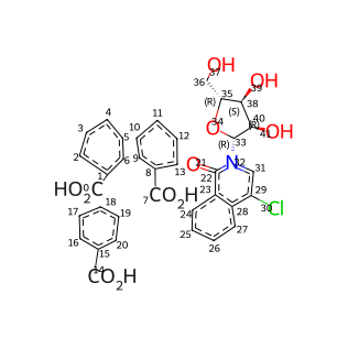 O=C(O)c1ccccc1.O=C(O)c1ccccc1.O=C(O)c1ccccc1.O=c1c2ccccc2c(Cl)cn1[C@@H]1O[C@H](CO)[C@@H](O)[C@H]1O